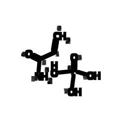 C=CC(N)=O.O=P(O)(O)O